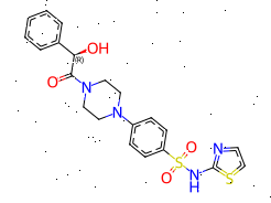 O=C([C@H](O)c1ccccc1)N1CCN(c2ccc(S(=O)(=O)Nc3nccs3)cc2)CC1